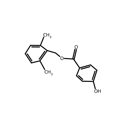 Cc1cccc(C)c1COC(=O)c1ccc(O)cc1